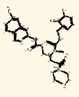 CN(C(=O)NCc1cccc(F)c1Cl)[C@H](COC(=O)Nc1cc2cc(F)ccc2cn1)CC(=O)N1CCOCC1